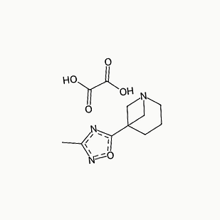 Cc1noc(C23CCCN(C2)C3)n1.O=C(O)C(=O)O